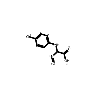 O=NC(Nc1ccc(Cl)cc1)C(=O)O